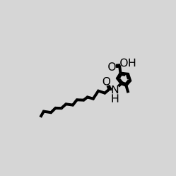 CCCCCCCCCCCCCC(=O)Nc1cc(C(=O)O)ccc1C